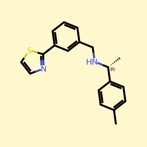 Cc1ccc([C@@H](C)NCc2cccc(-c3nccs3)c2)cc1